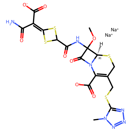 COC1(NC(=O)C2SC(=C(C(N)=O)C(=O)[O-])S2)C(=O)N2C(C(=O)[O-])=C(CSc3nnnn3C)CS[C@@H]21.[Na+].[Na+]